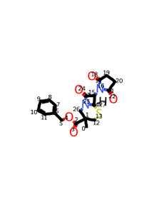 CC1(C(=O)OCc2ccccc2)CS[C@@H]2C(N3C(=O)CCC3=O)C(=O)N2C1